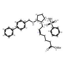 COC(=O)CCC/C=C\C[C@@H]1[C@@H](NS(=O)(=O)c2ccccc2)CC[C@@H]1OCc1ccc(-c2ccccc2)cc1